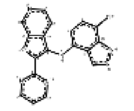 Clc1ccc(Nc2c(-c3ncccn3)oc3cnccc23)c2cn[nH]c12